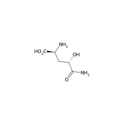 NC(=O)[C@@H](O)C[C@H](N)C(=O)O